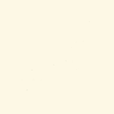 CCCCCC1CCC(c2ccc(OCCCCP(=O)(Cl)OCC)c(F)c2F)CC1